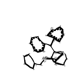 c1ccc(C(c2ccccc2)C2C(NCC3CCCC3)C3CCN2CC3)cc1